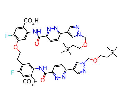 C[Si](C)(C)CCOCn1cc(-c2ccc(C(=O)Nc3cc(CCOc4cc(NC(=O)c5ccc(-c6cnn(COCC[Si](C)(C)C)c6)nn5)c(C(=O)O)cc4F)c(F)cc3C(=O)O)nn2)cn1